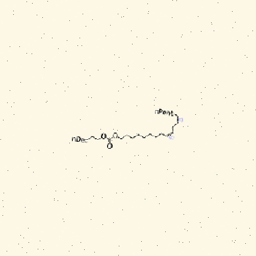 CCCCC/C=C\C/C=C\CCCCCCCCOC(=O)OCCCCCCCCCCCC